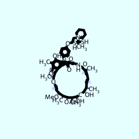 CO[C@H]1/C=C/O[C@@]2(C)Oc3c(C)c(O)c4c(=O)c(c5oc6cc(OCC[N+]7(C(C)(S)S)CCCCC7)ccc6nc-5c4c3C2=O)NC(=O)/C(C)=C\C=C\[C@H](C)[C@H](O)C[C@@H](O)[C@@H](C)[C@H](OC(C)=O)[C@@H]1C